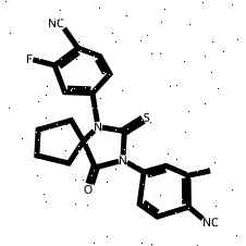 [C-]#[N+]c1ccc(N2C(=O)C3(CCCC3)N(c3ccc(C#N)c(F)c3)C2=S)cc1C